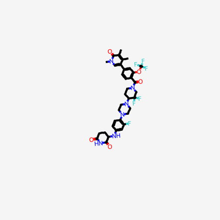 Cc1c(-c2ccc(C(=O)N3CCC(N4CCN(c5ccc(NC6CCC(=O)NC6=O)cc5F)CC4)C(F)(F)C3)c(OC(F)(F)F)c2)cn(C)c(=O)c1C